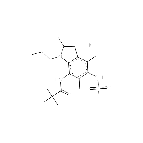 CCCN1c2c(c(C)c(NS(N)(=O)=O)c(C)c2NC(=O)C(C)(C)C)CC1C.Cl